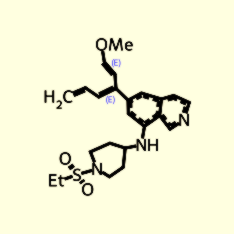 C=C/C=C(\C=C\OC)c1cc(NC2CCN(S(=O)(=O)CC)CC2)c2cnccc2c1